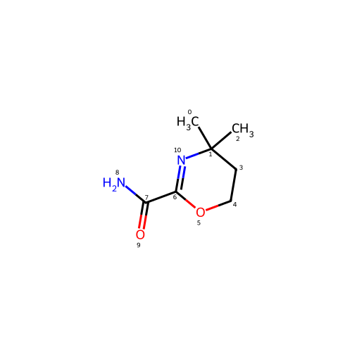 CC1(C)CCOC(C(N)=O)=N1